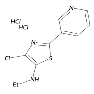 CCNc1sc(-c2cccnc2)nc1Cl.Cl.Cl